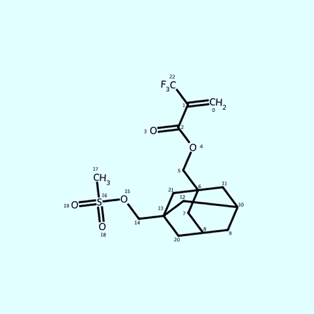 C=C(C(=O)OCC12CC3CC(C1)CC(COS(C)(=O)=O)(C3)C2)C(F)(F)F